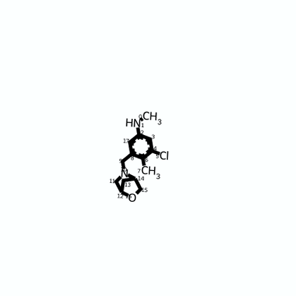 CNc1cc(Cl)c(C)c(CN2CC3CC2CO3)c1